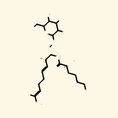 CCCCCCCCCCCCCC[C@@H](O)C(=O)N[C@@H](COC1OC(CO)C(O)C(O)C1O)[C@H](O)/C=C/CC/C=C(\C)CCCCCCCCC